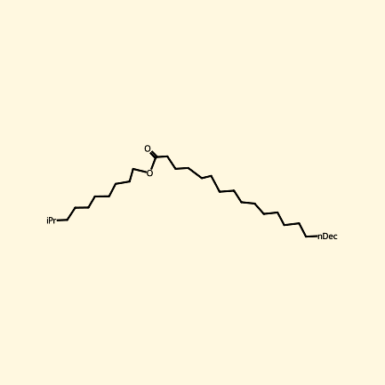 CCCCCCCCCCCCCCCCCCCCCCCCC(=O)OCCCCCCCCC(C)C